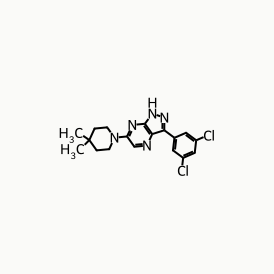 CC1(C)CCN(c2cnc3c(-c4cc(Cl)cc(Cl)c4)n[nH]c3n2)CC1